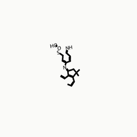 C=CC1=C(/C=C\C)C(C)(C)C\C1=N/C(/C=C\C=N)=C/CSOO